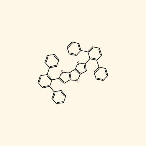 c1ccc(-c2cccc(-c3ccccc3)c2-c2cc3sc4cc(-c5c(-c6ccccc6)cccc5-c5ccccc5)sc4c3s2)cc1